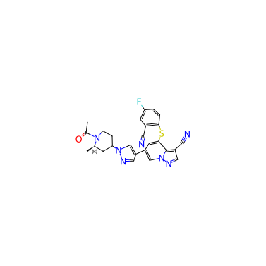 CC(=O)N1CCC(n2cc(-c3cc(Sc4ccc(F)cc4C#N)c4c(C#N)cnn4c3)cn2)C[C@H]1C